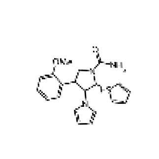 COc1ccccc1C1CN(C(N)=O)C([SH]2C=CC=C2)C1n1cccc1